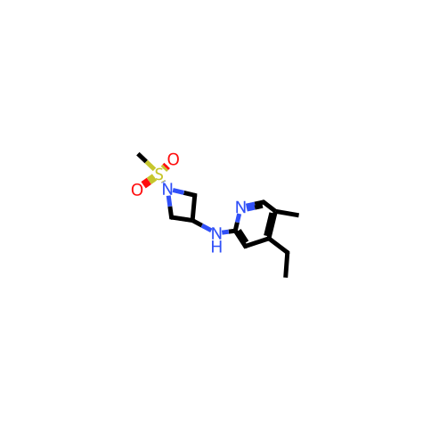 CCc1cc(NC2CN(S(C)(=O)=O)C2)ncc1C